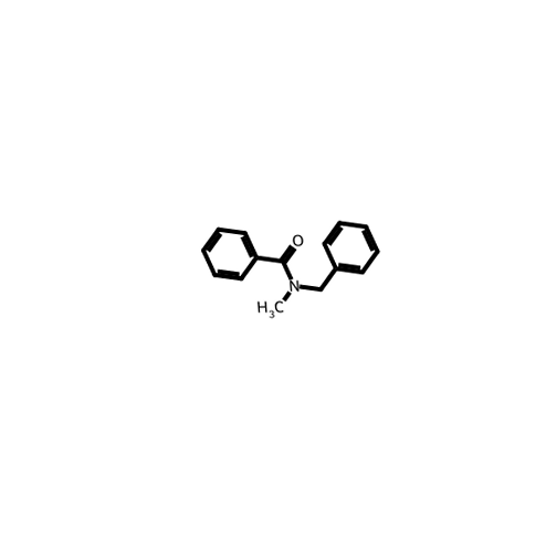 CN(Cc1ccccc1)C(=O)c1ccccc1